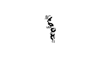 CCc1ccc(Oc2ccnc(Nc3cccc(CC(C)(C)C#N)c3)c2)c(C)n1